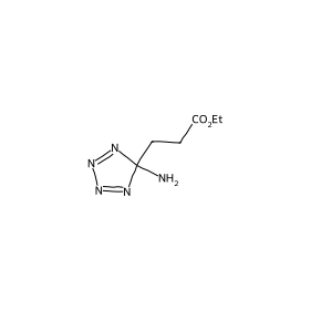 CCOC(=O)CCC1(N)N=NN=N1